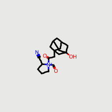 N#CC1CCC[N+]1(C=O)C(=O)CC12CC3CC(CC(O)(C3)C1)C2